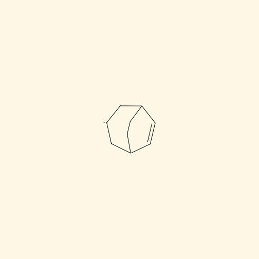 [CH]1CC2C=CC(C1)CC2